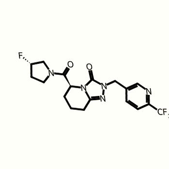 O=C([C@@H]1CCCc2nn(Cc3ccc(C(F)(F)F)nc3)c(=O)n21)N1CC[C@H](F)C1